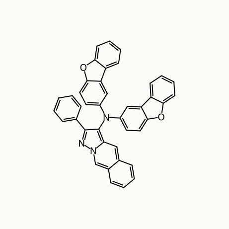 c1ccc(-c2nn3cc4ccccc4cc3c2N(c2ccc3oc4ccccc4c3c2)c2ccc3oc4ccccc4c3c2)cc1